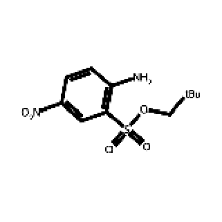 CC(C)(C)COS(=O)(=O)c1cc([N+](=O)[O-])ccc1N